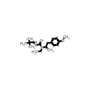 CCN(C(=O)NCC(C)(C)C)C(C)Cc1ccc(OC)cc1